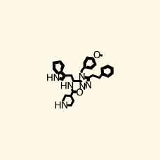 COc1ccc(Cn2c(CCc3ccccc3)nnc2C(Cc2c[nH]c3ccccc23)NC(=O)C2CCNCC2)cc1